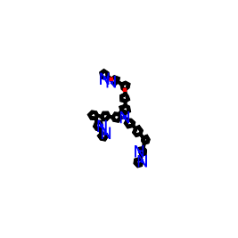 c1ccc(-c2ccc(-c3cccc(-c4ccc(-c5ccc(-n6c7ccc(-c8ccc(-c9cccc(-c%10ccc(-c%11ccccn%11)nc%10)c9)cc8)cc7c7cc(-c8ccc(-c9ccccc9-c9ccc(-c%10ccccn%10)nc9)cc8)ccc76)cc5)cc4)c3)cn2)nc1